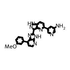 COc1cccc(-c2ccnc3[nH]c(-c4n[nH]c5ccc(-c6cncc(N)c6)nc45)nc23)c1